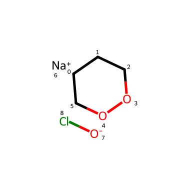 C1CCOOC1.[Na+].[O-]Cl